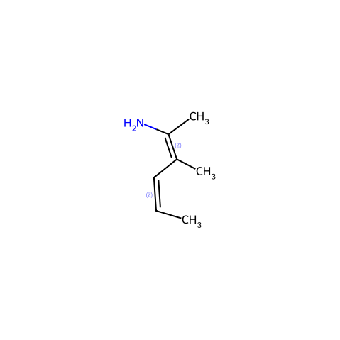 C/C=C\C(C)=C(\C)N